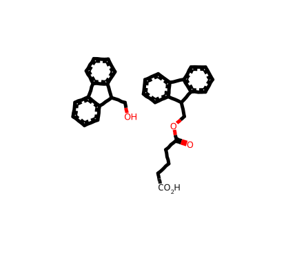 O=C(O)CCCC(=O)OCC1c2ccccc2-c2ccccc21.OCC1c2ccccc2-c2ccccc21